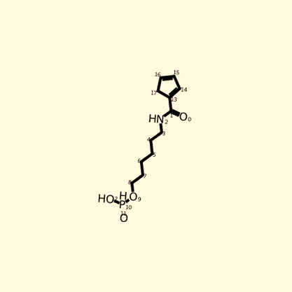 O=C(NCCCCCCO[PH](=O)O)C1=CC=CC1